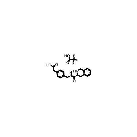 O=C(O)C(F)(F)F.O=C(O)Cc1ccc(CNC(=O)[C@@H]2Cc3ccccc3CN2)cc1